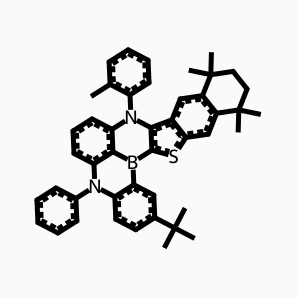 Cc1ccccc1N1c2cccc3c2B(c2cc(C(C)(C)C)ccc2N3c2ccccc2)c2sc3cc4c(cc3c21)C(C)(C)CCC4(C)C